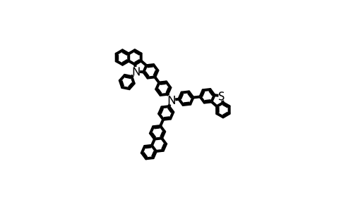 c1ccc(-n2c3cc(-c4ccc(N(c5ccc(-c6ccc7c(ccc8ccccc87)c6)cc5)c5ccc(-c6ccc7sc8ccccc8c7c6)cc5)cc4)ccc3c3ccc4ccccc4c32)cc1